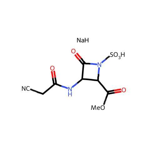 COC(=O)C1C(NC(=O)CC#N)C(=O)N1S(=O)(=O)O.[NaH]